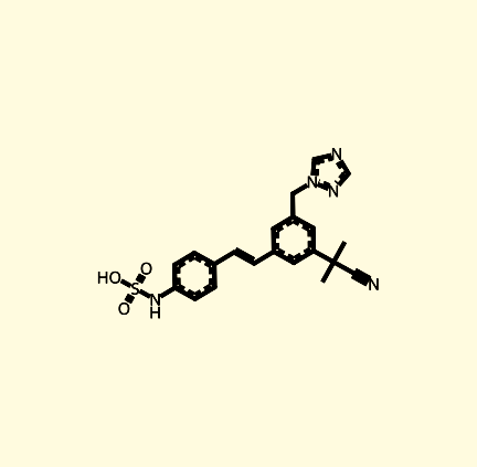 CC(C)(C#N)c1cc(/C=C/c2ccc(NS(=O)(=O)O)cc2)cc(Cn2cncn2)c1